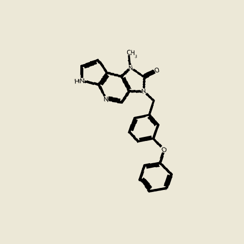 Cn1c(=O)n(Cc2cccc(Oc3ccccc3)c2)c2cnc3[nH]ccc3c21